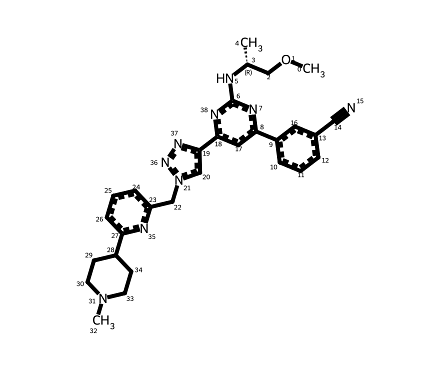 COC[C@@H](C)Nc1nc(-c2cccc(C#N)c2)cc(-c2cn(Cc3cccc(C4CCN(C)CC4)n3)nn2)n1